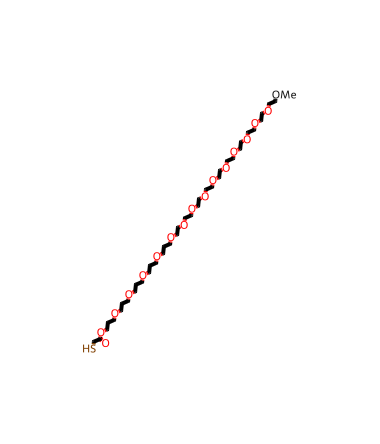 COCCOCCOCCOCCOCCOCCOCCOCCOCCOCCOCCCOCCCOCCCOCCCOCCCOC(=O)CS